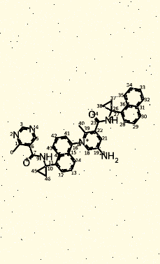 Cc1ncncc1C(=O)NC1(c2cccc3c(-[n+]4cc(N)cc(C(=O)NC5(c6cccc7ccccc67)CC5)c4C)cccc23)CC1